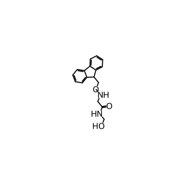 O=C(CNOCC1c2ccccc2-c2ccccc21)NCO